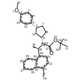 COc1ccc([C@@H]2CC[C@H](N(C(=O)OC(C)(C)C)[C@H](C)c3ccc(F)c4ccccc34)C2)cc1